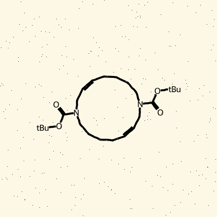 CC(C)(C)OC(=O)N1CC=CCCCCN(C(=O)OC(C)(C)C)CC=CCCCC1